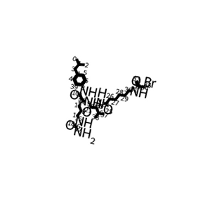 CC(C)Cc1ccc(NC(=O)[C@H](CCCNC(N)=O)NC(=O)C(NC(=O)CCCCCNC(=O)CBr)C(C)C)cc1